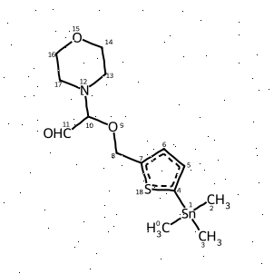 [CH3][Sn]([CH3])([CH3])[c]1ccc(COC(C=O)N2CCOCC2)s1